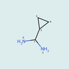 NC(N)C1CC1